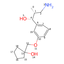 C[C@H](CN)[C@@H](O)c1cccc(OCC2(O)CCCC2)c1